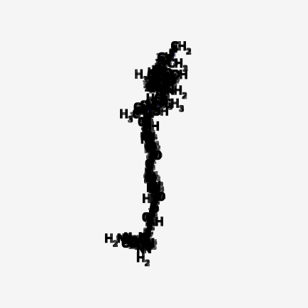 C=C/C=C/C=C(\C)[C@H](C[C@@H]1CC[C@@H](C)[C@](O)(C(=O)C(=O)N2CCCC[C@H]2C(=O)O[C@@H](C[C@@H](O)[C@H](C)/C=C(\C)[C@@H](O)[C@@H](O)/C(=N/OCC(=O)NCc2cnc(N3CCN(C(=O)CCOCCN4CCN(c5ncc(C(=O)NCCOCCC(=O)NCCCCn6nc(-c7ccc8oc(N)nc8c7)c7c(N)ncnc76)cn5)CC4)CC3)nc2)[C@H](C)CC(C)C)[C@H](N)C[C@@H]2CC[C@@H](O)[C@H](OC)C2)O1)OC